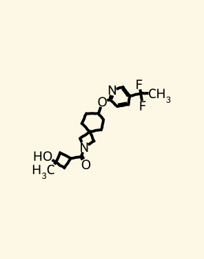 CC1(O)CC(C(=O)N2CC3(CCC(Oc4ccc(C(C)(F)F)cn4)CC3)C2)C1